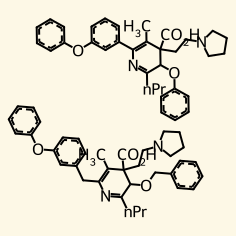 CCCC1=NC(Cc2cccc(Oc3ccccc3)c2)=C(C)C(CCN2CCCC2)(C(=O)O)C1OCc1ccccc1.CCCC1=NC(c2cccc(Oc3ccccc3)c2)=C(C)C(CCN2CCCC2)(C(=O)O)C1Oc1ccccc1